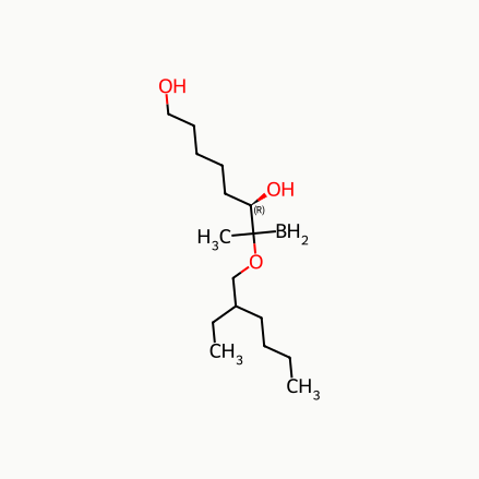 BC(C)(OCC(CC)CCCC)[C@H](O)CCCCCO